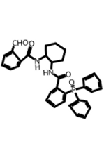 O=Cc1ccccc1C(=O)NC1CCCCC1NC(=O)c1ccccc1P(=O)(c1ccccc1)c1ccccc1